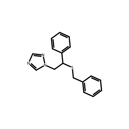 c1ccc(CSC(Cn2cncn2)c2ccccc2)cc1